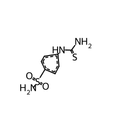 NC(=S)Nc1ccc(S(N)(=O)=O)cc1